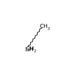 [CH2]CCCCCCCCCCCCC.[LiH]